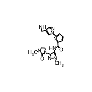 CN1CCN(c2nn(C)cc2NC(=O)c2cccc(-n3cc(CN)cn3)n2)C1=O